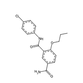 CCCOc1ccc(C(N)=O)cc1C(=O)Nc1ccc(Cl)cc1